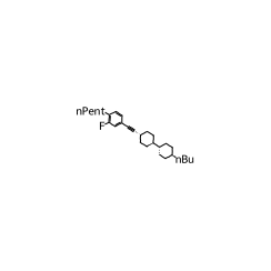 CCCCCc1ccc(C#C[C@H]2CC[C@H]([C@H]3CC[C@H](CCCC)CC3)CC2)cc1F